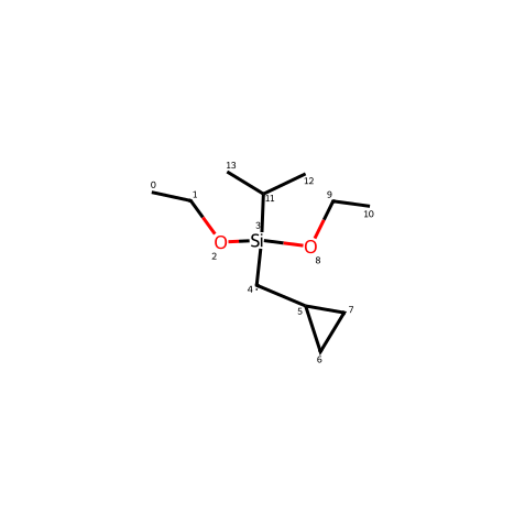 CCO[Si]([CH]C1CC1)(OCC)C(C)C